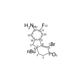 CCCCC12CCC(=O)C(Br)=C1c1cc(F)c(N)cc1C2